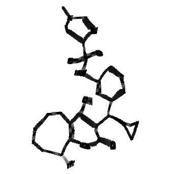 CCC[C@@H]1CCCCCc2c1oc(=O)c([C@@H](c1cccc(NS(=O)(=O)c3cn(C)cn3)c1)C1CC1)c2O